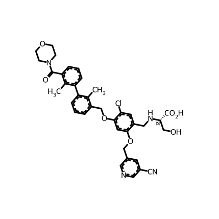 Cc1c(COc2cc(OCc3cncc(C#N)c3)c(CN[C@@H](CO)C(=O)O)cc2Cl)cccc1-c1cccc(C(=O)N2CCOCC2)c1C